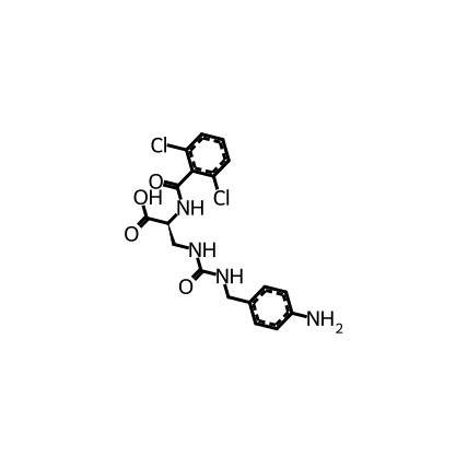 Nc1ccc(CNC(=O)NC[C@H](NC(=O)c2c(Cl)cccc2Cl)C(=O)O)cc1